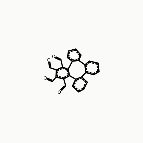 O=Cc1c(C=O)c(C=O)c2c(c1C=O)-c1ccccc1-c1ccccc1-c1ccccc1-2